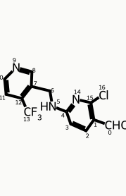 O=Cc1ccc(NCc2cnccc2C(F)(F)F)nc1Cl